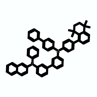 CC1(C)CCC(C)(C)c2c(-c3ccc(N(c4ccc(-c5ccccc5)cc4)c4cccc(-c5cccc(N(c6ccccc6)c6ccc7ccccc7c6)c5)c4)cc3)cccc21